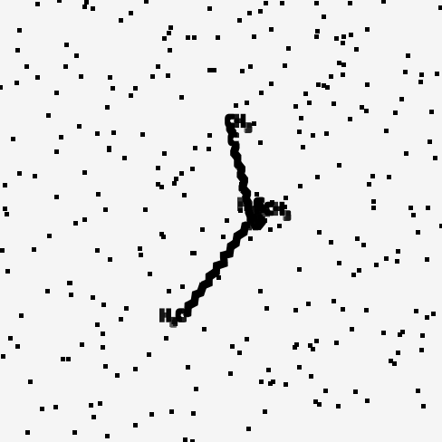 CCCCCCCCCCCCCCCCCCCn1cc[n+](C(C)C)c1CCCCCCCCCCCCCCCC